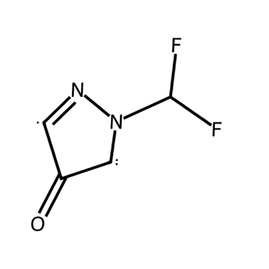 O=C1[C]N(C(F)F)N=[C]1